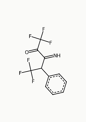 N=C(C(=O)C(F)(F)F)C(c1ccccc1)C(F)(F)F